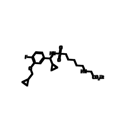 CCOC(=O)CNCCCCCS(=O)(=O)NC(c1ccc(F)c(OCC2CC2)c1)C1CC1